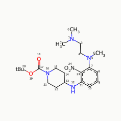 CN(C)CCN(C)c1cccc(NC2CCN(C(=O)OC(C)(C)C)CC2)c1[N+](=O)[O-]